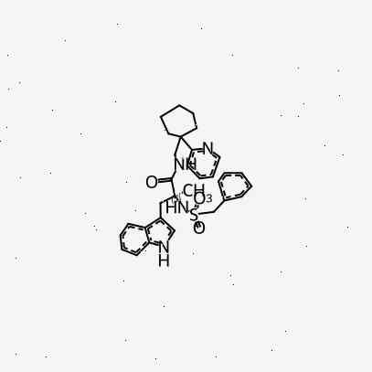 C[C@@](Cc1c[nH]c2ccccc12)(NS(=O)(=O)Cc1ccccc1)C(=O)NCC1(c2ccccn2)CCCCC1